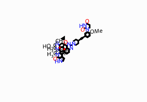 COc1ccc(C#CC2CCN(c3nc(C(CC(CN(C)C(=O)O)N(C)C(=O)O)(OC4CC4)c4ccccc4)c4cc(-c5cn(C)c(=O)c6[nH]ccc56)ccc4n3)CC2)cc1N1CCC(=O)NC1=O